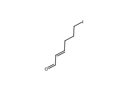 O=C/C=C/CCCI